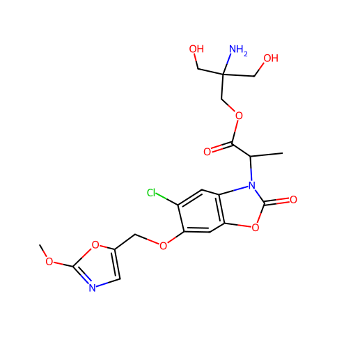 COc1ncc(COc2cc3oc(=O)n(C(C)C(=O)OCC(N)(CO)CO)c3cc2Cl)o1